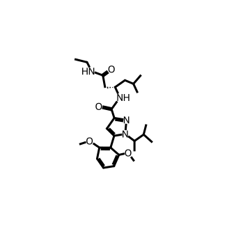 CCNC(=O)C[C@H](CC(C)C)NC(=O)c1cc(-c2c(OC)cccc2OC)n(C(C)C(C)C)n1